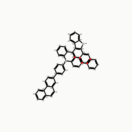 c1ccc(-c2ccc(N(c3ccc(-c4ccc5c(ccc6ccccc65)c4)cc3)c3ccccc3-c3cc4ccccc4c4oc5ccccc5c34)cc2)cc1